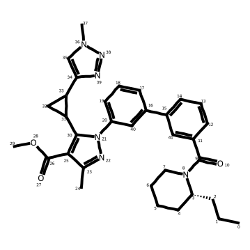 CCC[C@@H]1CCCCN1C(=O)c1cccc(-c2cccc(-n3nc(C)c(C(=O)OC)c3C3CC3c3cn(C)nn3)c2)c1